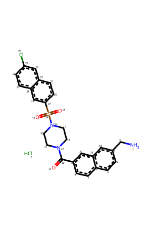 Cl.NCc1ccc2ccc(C(=O)N3CCN(S(=O)(=O)c4ccc5cc(Cl)ccc5c4)CC3)cc2c1